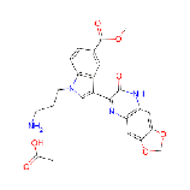 CC(=O)O.COC(=O)c1ccc2c(c1)c(-c1nc3cc4c(cc3[nH]c1=O)OCO4)cn2CCCN